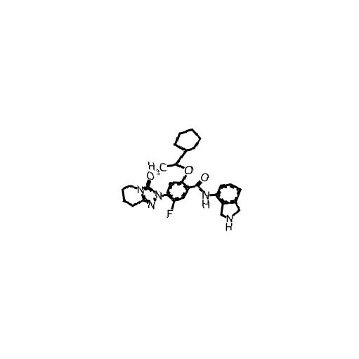 CC(Oc1cc(-n2nc3n(c2=O)CCCC3)c(F)cc1C(=O)Nc1cccc2c1CNC2)C1CCCCC1